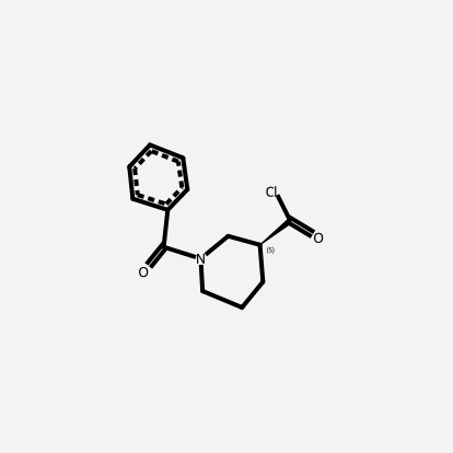 O=C(Cl)[C@H]1CCCN(C(=O)c2ccccc2)C1